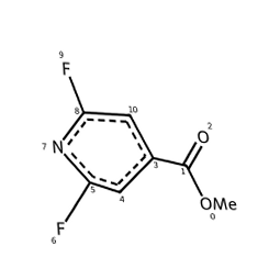 COC(=O)c1cc(F)nc(F)c1